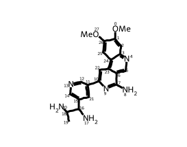 COc1cc2ncc3c(N)nc(-c4cncc(C(N)C(C)N)c4)cc3c2cc1OC